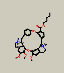 CCCCCOC(=O)c1ccc2cc1Oc1ccc(cc1)C[C@H]1c3c(cc(OC)c(OC)c3Oc3cc4c(cc3OC)CCN(C)[C@@H]4C2)CCN1C